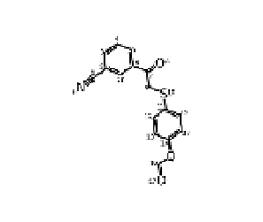 N#Cc1cccc(C(=O)CSc2ccc(OC=O)cc2)c1